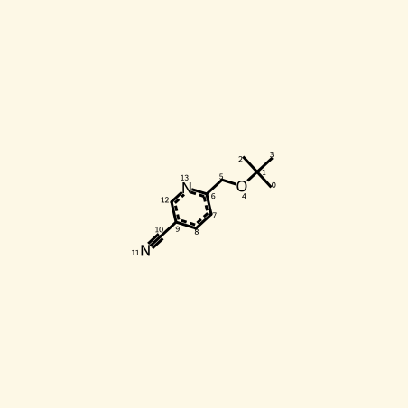 CC(C)(C)OCc1ccc(C#N)cn1